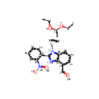 C=C.CCOC(C)OCC.Cn1c(-c2ccccc2[N+](=O)[O-])nc2c(C=O)cccc21